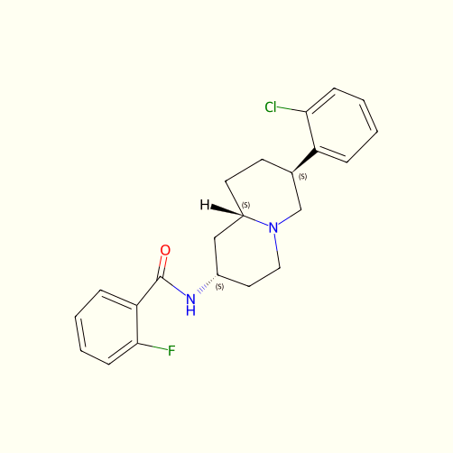 O=C(N[C@H]1CCN2C[C@H](c3ccccc3Cl)CC[C@H]2C1)c1ccccc1F